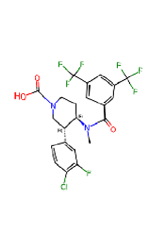 CN(C(=O)c1cc(C(F)(F)F)cc(C(F)(F)F)c1)[C@@H]1CCN(C(=O)O)C[C@H]1c1ccc(Cl)c(F)c1